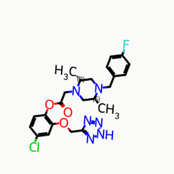 C[C@@H]1CN(Cc2ccc(F)cc2)[C@@H](C)CN1CC(=O)Oc1ccc(Cl)cc1OCc1nn[nH]n1